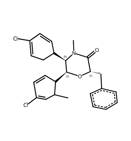 CC1C=C(Cl)C=CC1[C@@H]1O[C@@H](Cc2ccccc2)C(=O)N(C)[C@@H]1C1C=CC(Cl)=CC1